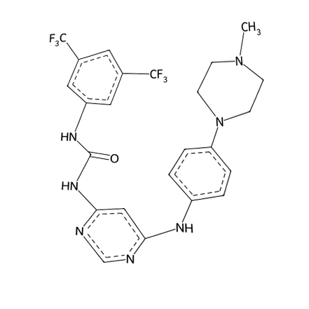 CN1CCN(c2ccc(Nc3cc(NC(=O)Nc4cc(C(F)(F)F)cc(C(F)(F)F)c4)ncn3)cc2)CC1